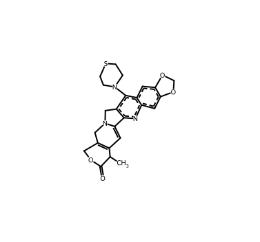 CC1C(=O)OCC2=C1C=C1c3nc4cc5c(cc4c(N4CCSCC4)c3CN1C2)OCO5